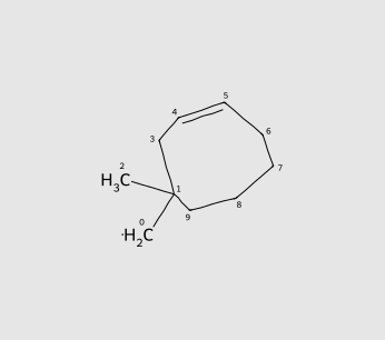 [CH2]C1(C)CC=CCCCC1